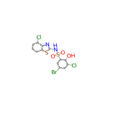 O=S(=O)(Nc1nc2c(Cl)cccc2s1)c1cc(Br)cc(Cl)c1O